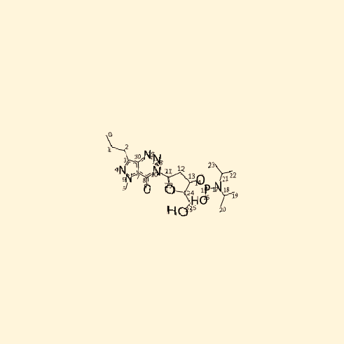 CCCc1nn(C)c2c(=O)n(C3CC(OP(O)N(C(C)C)C(C)C)C(CO)O3)nnc12